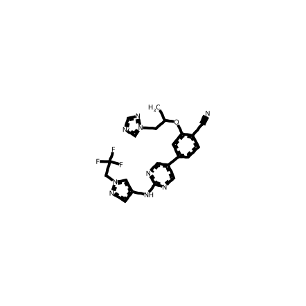 CC(Cn1cncn1)Oc1cc(-c2cnc(Nc3cnn(CC(F)(F)F)c3)nc2)ccc1C#N